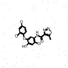 Cc1snnc1C(=O)Nc1cc(Oc2ccc(Cl)cc2Cl)c(O)cc1Cl